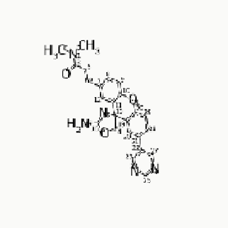 CN(C)C(=O)/C=C/c1ccc2c(c1)[C@]1(COC(N)=N1)c1cc(-c3cncnc3)ccc1O2